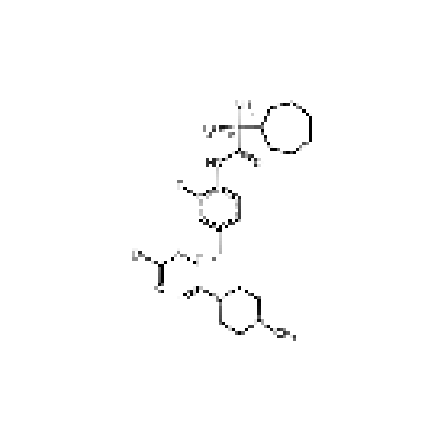 CCC(=O)N[C@H](Cc1ccc(NC(=O)[C@](C)(N)C2CCCCCC2)c(F)c1)C(=O)N1CCN(C)CC1